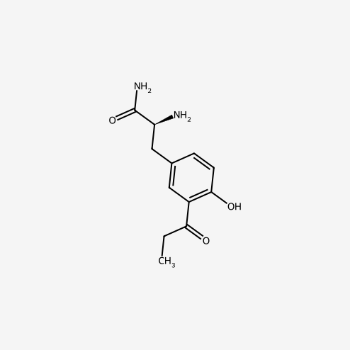 CCC(=O)c1cc(C[C@H](N)C(N)=O)ccc1O